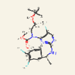 C[C@H](Nc1ncc(F)c(N2C(=O)OC[C@@H]2[C@@H](C)OC(C)(C)C)n1)c1ccc(F)c(F)c1